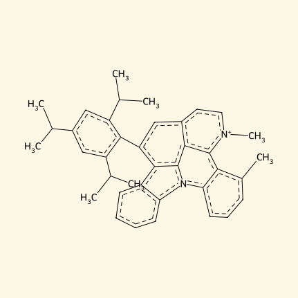 Cc1cccc2c1c1c3c(cc[n+]1C)cc(-c1c(C(C)C)cc(C(C)C)cc1C(C)C)c1c4ccccc4n2c13